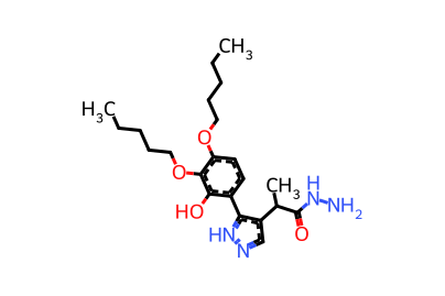 CCCCCOc1ccc(-c2[nH]ncc2C(C)C(=O)NN)c(O)c1OCCCCC